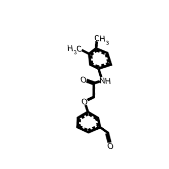 Cc1ccc(NC(=O)COc2cccc(C=O)c2)cc1C